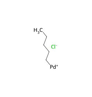 CCCC[CH2][Pd+].[Cl-]